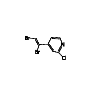 Clc1cc(C(Br)=CBr)ccn1